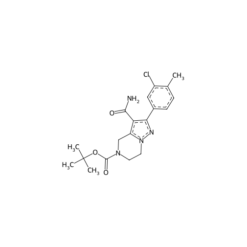 Cc1ccc(-c2nn3c(c2C(N)=O)CN(C(=O)OC(C)(C)C)CC3)cc1Cl